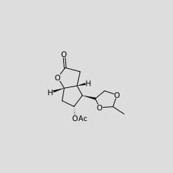 CC(=O)O[C@@H]1C[C@@H]2OC(=O)C[C@@H]2[C@H]1C1COC(C)O1